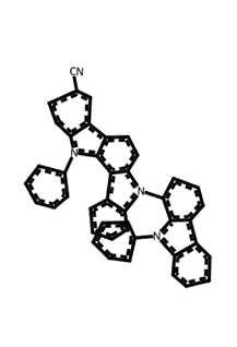 N#Cc1ccc2c(c1)c1ccc3c(c4ccccc4n3-c3cccc4c5ccccc5n(-c5ccccc5)c34)c1n2-c1ccccc1